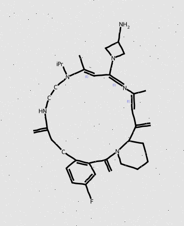 C=C1CCc2ccc(F)cc2C(=C)N2CCCCC2C(=C)/C=C(C)/N=C(N2CC(N)C2)\C=C(/C)N(C(C)C)CCN1